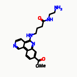 COC(=O)c1ccc2c(c1)nc(NCCCC(=O)NCCN)c1ccncc12